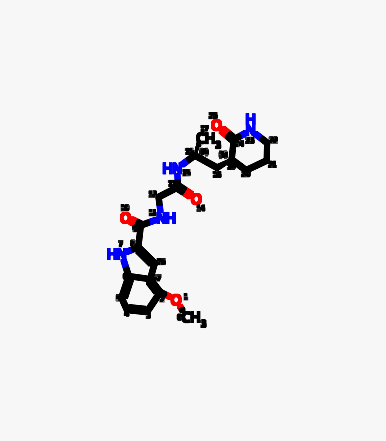 COc1cccc2[nH]c(C(=O)NCC(=O)N[C@H](C)C[C@@H]3CCCNC3=O)cc12